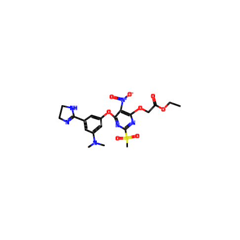 CCOC(=O)COc1nc(S(C)(=O)=O)nc(Oc2cc(C3=NCCN3)cc(N(C)C)c2)c1[N+](=O)[O-]